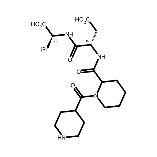 CC(C)[C@H](NC(=O)[C@H](CC(=O)O)NC(=O)C1CCCCN1C(=O)C1CCNCC1)C(=O)O